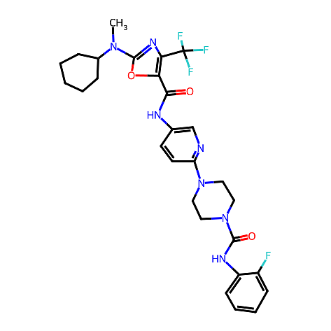 CN(c1nc(C(F)(F)F)c(C(=O)Nc2ccc(N3CCN(C(=O)Nc4ccccc4F)CC3)nc2)o1)C1CCCCC1